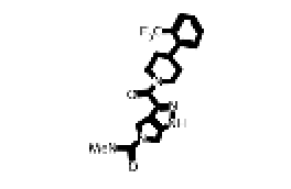 CNC(=O)N1Cc2[nH]nc(C(=O)N3CCC(c4ccccc4C(F)(F)F)CC3)c2C1